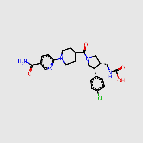 NC(=O)c1ccc(N2CCC(C(=O)N3C[C@H](CNC(=O)O)[C@H](c4ccc(Cl)cc4)C3)CC2)nc1